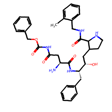 Cc1ccccc1CNC(=O)C1NCCC1C[C@H](O)[C@H](Cc1ccccc1)NC(=O)[C@@H](N)CC(=O)NC(=O)OCc1ccccc1